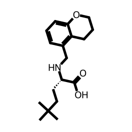 CC(C)(C)CC[C@H](NCc1cccc2c1CCCO2)C(=O)O